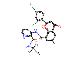 [2H]C([2H])([2H])NC(=O)c1ncccc1N[C@H](C)c1cc(C)cc2c(=O)cc(-c3ccc(F)cc3F)oc12